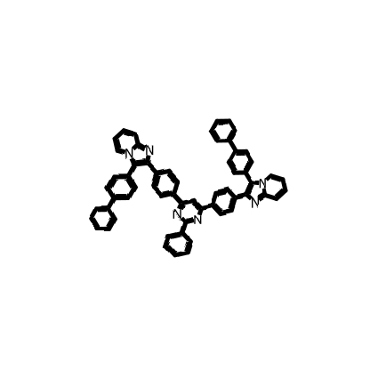 c1ccc(-c2ccc(-c3c(-c4ccc(-c5cc(-c6ccc(-c7nc8ccccn8c7-c7ccc(-c8ccccc8)cc7)cc6)nc(-c6ccccc6)n5)cc4)nc4ccccn34)cc2)cc1